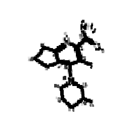 Cc1c(C(N)=O)nc2c(c1N1CCCC(C)C1)CCC2